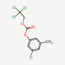 Cc1[c]c(Cl)cc(OC(=O)OCC(Cl)(Cl)Cl)c1